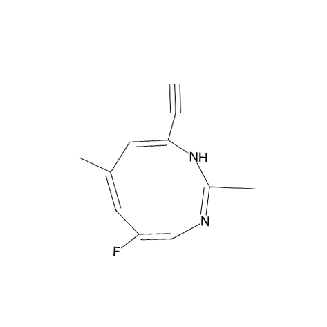 C#Cc1cc(C)cc(F)cnc(C)[nH]1